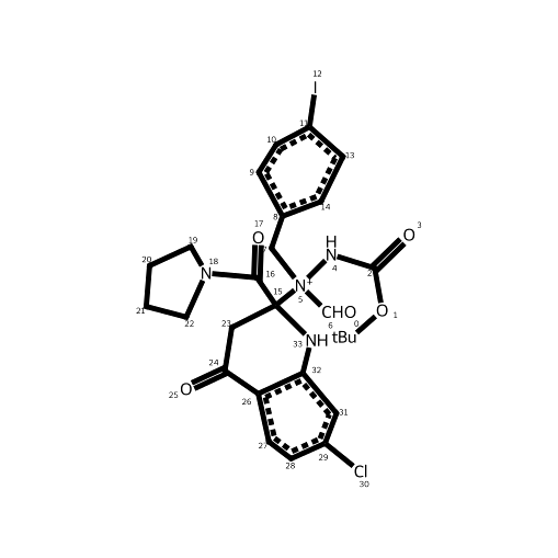 CC(C)(C)OC(=O)N[N+](C=O)(Cc1ccc(I)cc1)C1(C(=O)N2CCCC2)CC(=O)c2ccc(Cl)cc2N1